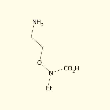 CCN(OCCN)C(=O)O